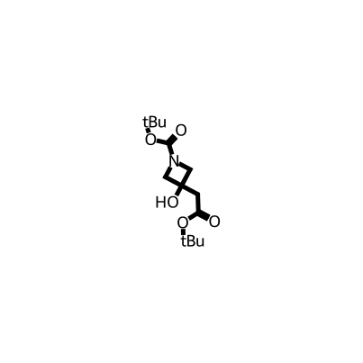 CC(C)(C)OC(=O)CC1(O)CN(C(=O)OC(C)(C)C)C1